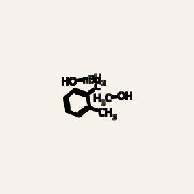 CCCCO.CO.Cc1ccccc1C